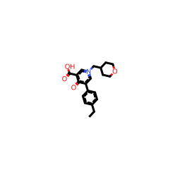 CCc1ccc(-c2cn(CC3CCOCC3)cc(C(=O)O)c2=O)cc1